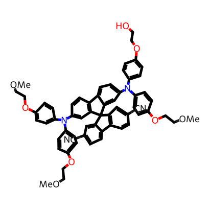 COCCOc1ccc(N(c2ccc(OCCO)cc2)c2ccc3c(c2)C2(c4cc(C#N)ccc4-c4ccc(C#N)cc42)c2cc(N(c4ccc(OCCOC)cc4)c4ccc(OCCOC)cc4)ccc2-3)cc1